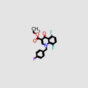 CCOC(=O)c1cn(Cc2ccc(I)cc2)c2c(F)ccc(F)c2c1=O